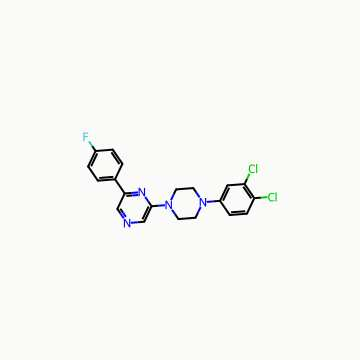 Fc1ccc(-c2cncc(N3CCN(c4ccc(Cl)c(Cl)c4)CC3)n2)cc1